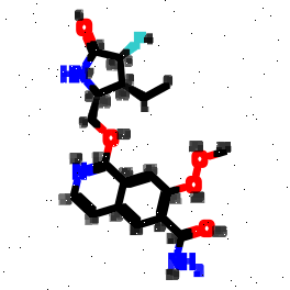 CC[C@@H]1[C@H](F)C(=O)N[C@@H]1COc1nccc2cc(C(N)=O)c(OOC)cc12